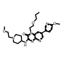 CCCOCCn1c(=O)c(NC2CCN(CCOC)CC2)nc2ncc(-c3ccc(OC)nc3)cc21